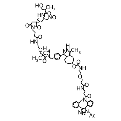 CC(=O)Cn1nnc2c1-c1ccccc1N(C(=O)CCNC(=O)CCOCCNC(=O)OC1CCCC3C(c4ccc(CNC(=O)C(C)(C)COCCNC(=O)CCCN5C(=O)CC(SCC(CN=O)NC(=O)C(C)CO)C5=O)cc4)=NNC(C)=C3CC1)Cc1ccccc1-2